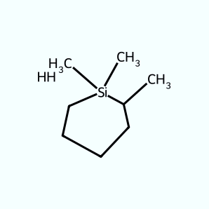 CC1CCCC[Si]1(C)C.[HH]